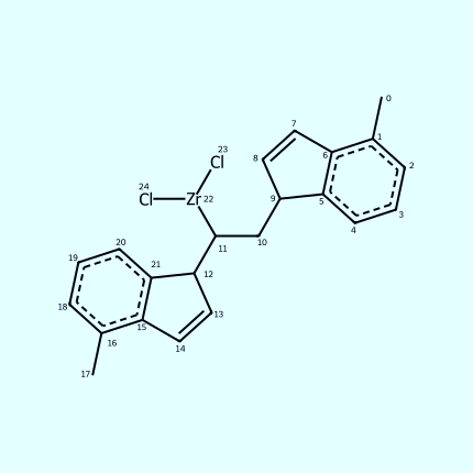 Cc1cccc2c1C=CC2C[CH](C1C=Cc2c(C)cccc21)[Zr]([Cl])[Cl]